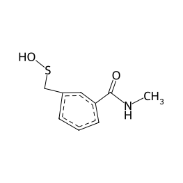 CNC(=O)c1cccc(CSO)c1